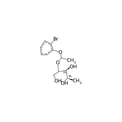 CC(Oc1ccccc1Br)OC(CO)[C@@H](O)[C@@H](C)O